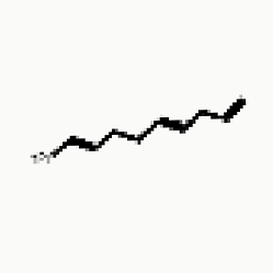 C=CCC=CCCC=CCCC